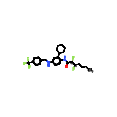 CCCC[C@@H](F)[C@@H](F)C(=O)Nc1ccc(NCc2ccc(C(F)(F)F)cc2)cc1C1CCCCC1